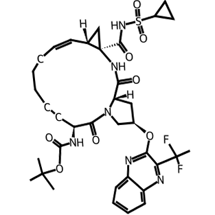 CC(C)(C)OC(=O)N[C@H]1CCCCC/C=C\[C@@H]2C[C@@]2(C(=O)NS(=O)(=O)C2CC2)NC(=O)[C@@H]2C[C@@H](Oc3nc4ccccc4nc3C(C)(F)F)CN2C1=O